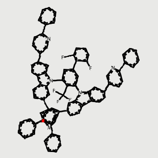 Fc1cccc(F)c1-c1cc(-n2c3cc(-c4ccc(-c5ccccc5)nc4)ccc3c3ccc(-c4ccc(-c5ccccc5)nc4)cc32)c(C(F)(F)F)c(-n2c3cc(-c4ccc(-c5ccccc5)nc4)ccc3c3ccc(-c4ccc(-c5ccccc5)nc4)cc32)c1